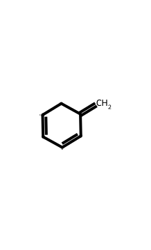 C=C1C=[C]C=[C]C1